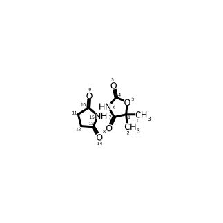 CC1(C)OC(=O)NC1=O.O=C1CCC(=O)N1